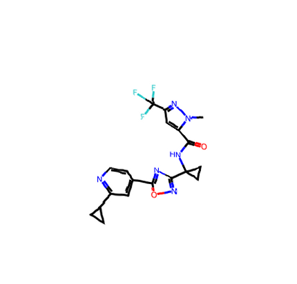 Cn1nc(C(F)(F)F)cc1C(=O)NC1(c2noc(-c3ccnc(C4CC4)c3)n2)CC1